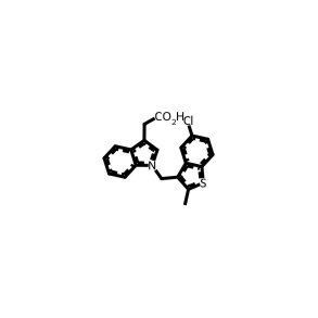 Cc1sc2ccc(Cl)cc2c1Cn1cc(CC(=O)O)c2ccccc21